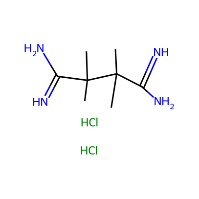 CC(C)(C(=N)N)C(C)(C)C(=N)N.Cl.Cl